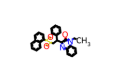 CCn1c(=O)c(C(CS(=O)(=O)c2cccc3ccccc23)c2ccccc2)nc2ccccc21